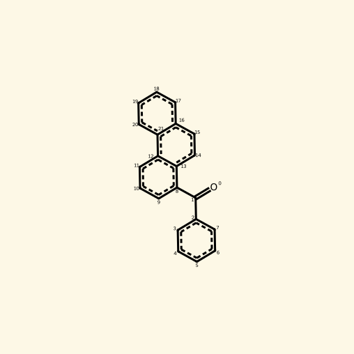 O=C(c1ccccc1)c1cccc2c1ccc1ccccc12